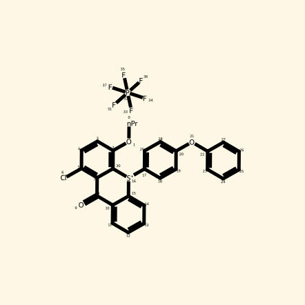 CCCOc1ccc(Cl)c2c(=O)c3ccccc3[s+](-c3ccc(Oc4ccccc4)cc3)c12.F[P-](F)(F)(F)(F)F